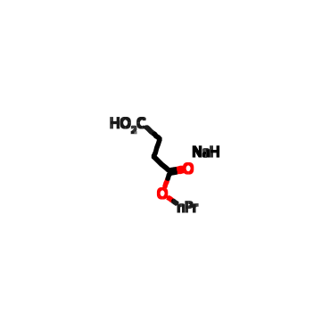 CCCOC(=O)CCC(=O)O.[NaH]